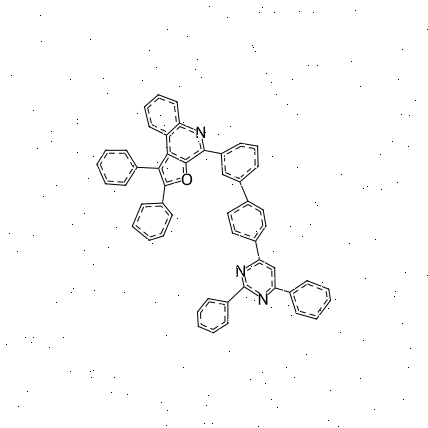 c1ccc(-c2cc(-c3ccc(-c4cccc(-c5nc6ccccc6c6c(-c7ccccc7)c(-c7ccccc7)oc56)c4)cc3)nc(-c3ccccc3)n2)cc1